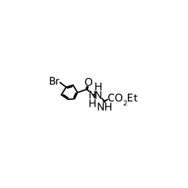 CCOC(=O)C(=N)NNC(=O)c1cccc(Br)c1